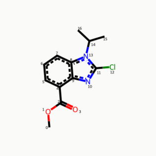 COC(=O)c1cccc2c1nc(Cl)n2C(C)C